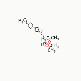 CCC[C@H]1CC[C@H](c2ccc(OCCCCC[SiH](OC(C)C)OC(C)C)cc2)CC1